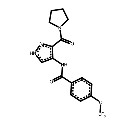 O=C(Nc1c[nH]nc1C(=O)N1CCCC1)c1ccc(OC(F)(F)F)cc1